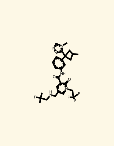 CC1CC(c2cccc(NC(=O)c3cc(CNCC(C)(C)F)cn(CC(F)(F)F)c3=O)c2)(c2nncn2C)C1